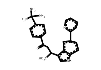 NC(N)(N)c1ccc(C(=O)CC(C(=O)O)c2c[nH]c3ccc(-c4ccccn4)cc23)cc1